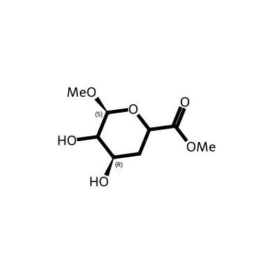 COC(=O)C1C[C@@H](O)C(O)[C@@H](OC)O1